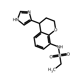 CCS(=O)(=O)Nc1cccc2c1OCCC2c1c[nH]cn1